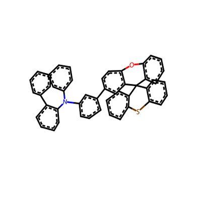 c1ccc(-c2ccccc2N(c2ccccc2)c2cccc(-c3ccc4c(c3)C3(c5ccccc5O4)c4ccccc4Sc4ccccc43)c2)cc1